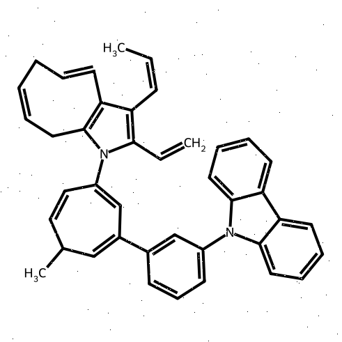 C=Cc1c(/C=C\C)c2c(n1C1=CC(c3cccc(-n4c5ccccc5c5ccccc54)c3)=CC(C)C=C1)C/C=C\C/C=C/2